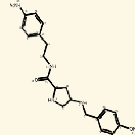 COc1ccc(CNC2CNC(C(=O)NCCc3ccc(NC(C)=O)cc3)C2)cc1